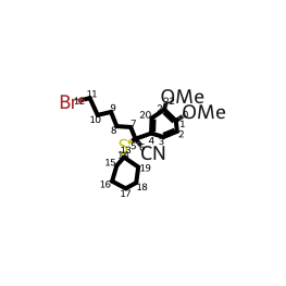 COc1ccc(C(C#N)(CCCCCBr)SC2CCCCC2)cc1OC